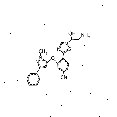 Cn1nc(-c2ccccc2)cc1Oc1cc(C#N)ccc1-c1ncc(C(O)CN)s1